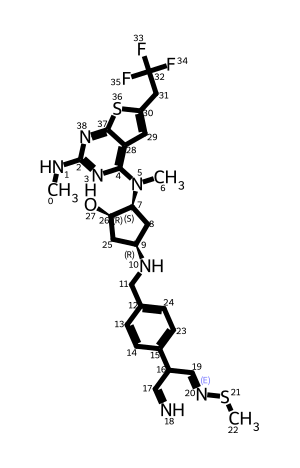 CNc1nc(N(C)[C@H]2C[C@@H](NCc3ccc(C(C=N)/C=N/SC)cc3)C[C@H]2O)c2cc(CC(F)(F)F)sc2n1